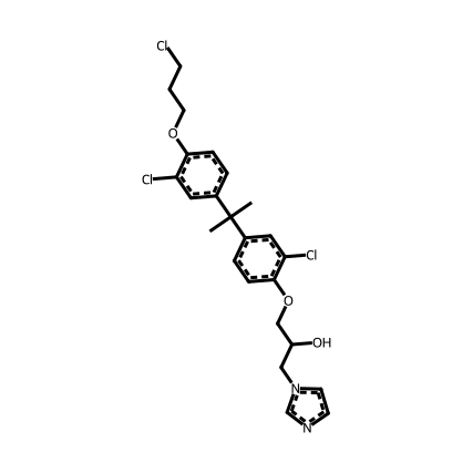 CC(C)(c1ccc(OCCCCl)c(Cl)c1)c1ccc(OCC(O)Cn2ccnc2)c(Cl)c1